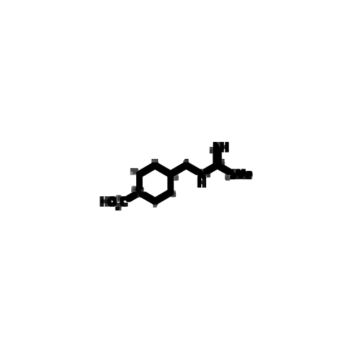 CSC(=N)NCC1CCN(C(=O)O)CC1